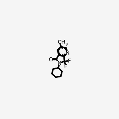 Cc1cnc2c(c1)C(=O)N(C1CCCCC1)C2(F)F